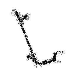 CCOC(=O)CCC(=O)c1cc2c(F)c(OCCCOc3c(OC)cc4c(c3F)CN(C(=O)CCC(=O)O[C@@H](C)CNC(=O)[C@H](CCC(=O)NCCOCCOCCOCCOCCOCCOCCOCCOCCC(=O)N[C@@H](CCC(=O)NC[C@H](O)[C@@H](O)[C@H](O)[C@H](O)CO)C(=O)NC[C@H](O)[C@@H](O)[C@H](O)[C@H](O)CO)NC(=O)CN3C(=O)C=CC3=O)C4)c(OC)cc2s1